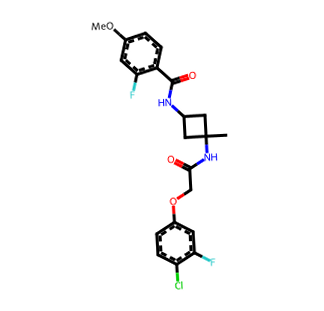 COc1ccc(C(=O)NC2CC(C)(NC(=O)COc3ccc(Cl)c(F)c3)C2)c(F)c1